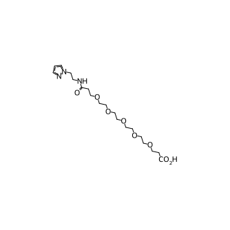 O=C(O)CCOCCOCCOCCOCCOCCC(=O)NCCn1cccn1